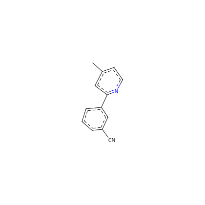 Cc1ccnc(-c2cccc(C#N)c2)c1